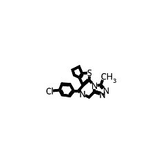 Cc1nnc2n1-c1sc3c(c1C(c1ccc(Cl)cc1)=NC2)CCC3